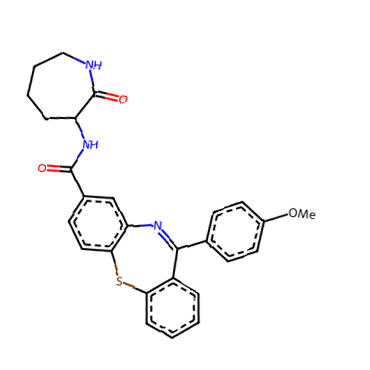 COc1ccc(C2=Nc3cc(C(=O)NC4CCCCNC4=O)ccc3Sc3ccccc32)cc1